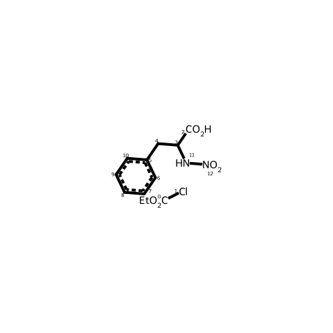 CCOC(=O)Cl.O=C(O)C(Cc1ccccc1)N[N+](=O)[O-]